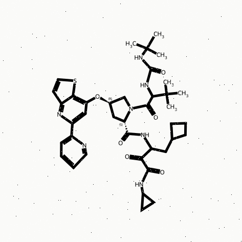 CC(C)(C)NC(=O)NC(C(=O)N1C[C@H](Oc2cc(-c3ccccn3)nc3ccsc23)C[C@H]1C(=O)NC(CC1CCC1)C(=O)C(=O)NC1CC1)C(C)(C)C